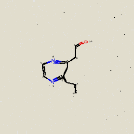 CCc1nccnc1CC=O